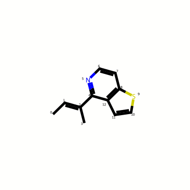 C/C=C(\C)c1nccc2sccc12